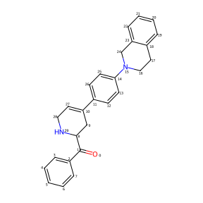 O=C(c1ccccc1)C1CC(c2ccc(N3CCc4ccccc4C3)cc2)=CCN1